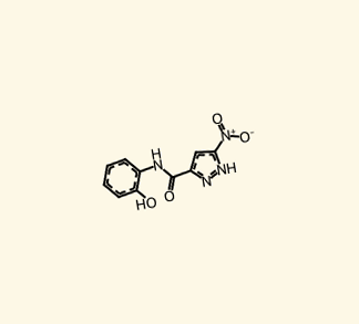 O=C(Nc1ccccc1O)c1cc([N+](=O)[O-])[nH]n1